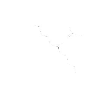 CCCCOC(=O)OCCCC.O=C(O)O